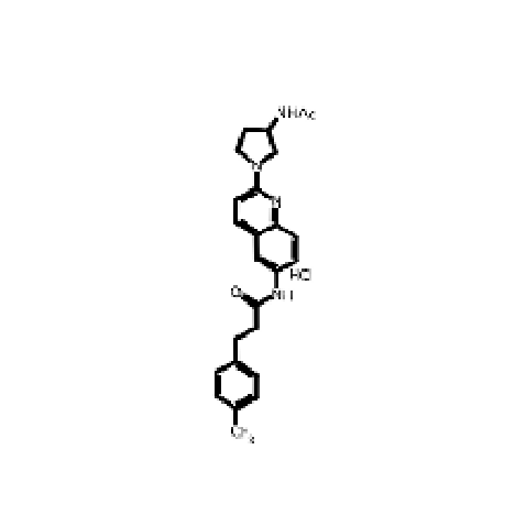 CC(=O)NC1CCN(c2ccc3cc(NC(=O)CCc4ccc(C(F)(F)F)cc4)ccc3n2)C1.Cl